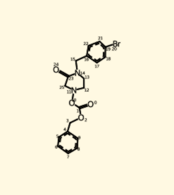 O=C(OCc1ccccc1)ON1CCN(Cc2ccc(Br)cc2)C(=O)C1